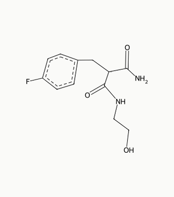 NC(=O)[C](Cc1ccc(F)cc1)C(=O)NCCO